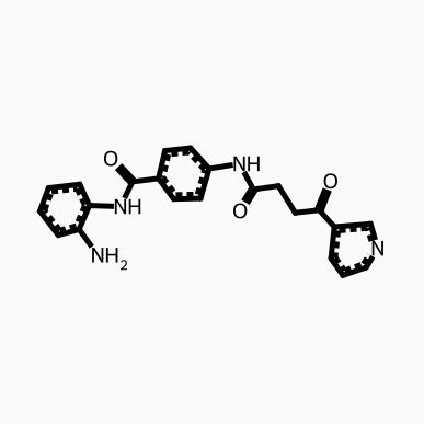 Nc1ccccc1NC(=O)c1ccc(NC(=O)CCC(=O)c2cccnc2)cc1